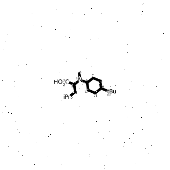 CC(C)CC(C(=O)O)N(C)C1CCC(C(C)(C)C)CC1